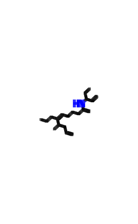 C=CCC(C)/C(=C\CCCC(=C)NC(C=C)CC)CCC